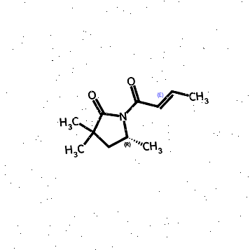 C/C=C/C(=O)N1C(=O)C(C)(C)C[C@H]1C